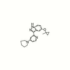 CC1(Oc2ccc3[nH]nc(-c4cc(N5CCCCC5)ccn4)c3c2)CC1